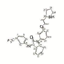 O=C1C(=Nc2cccc(C(F)(F)F)c2)c2ccccc2N1c1cccc(OCCC2CCCN2)c1